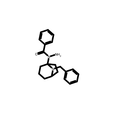 NN(C(=O)c1ccccc1)C12CCCC(CC1)N2Cc1ccccc1